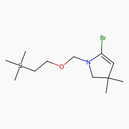 CC1(C)C=C(Br)N(COCC[Si](C)(C)C)C1